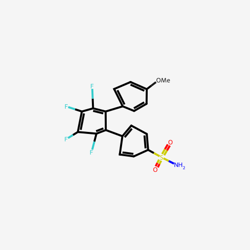 COc1ccc(-c2c(F)c(F)c(F)c(F)c2-c2ccc(S(N)(=O)=O)cc2)cc1